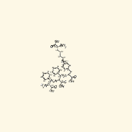 NC(Cc1ccccc1)C(=O)O.NC(Cc1ccccc1)C(=O)O.NC(Cc1ccccc1)C(=O)O.NCCCCC(N)C(=O)O